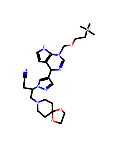 C[Si](C)(C)CCOCN1C=NC(c2cnn(C(CC#N)CN3CCC4(CC3)OCCO4)c2)c2cc[nH]c21